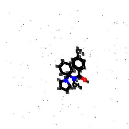 CN(C(=O)c1ccc(C(F)(F)F)cc1)C1(N2CCCC2)CCCCC1